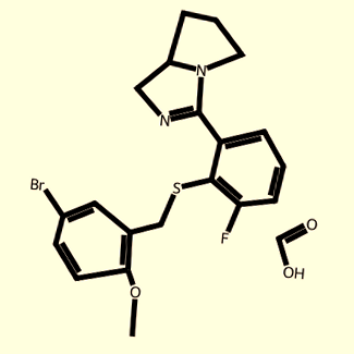 COc1ccc(Br)cc1CSc1c(F)cccc1C1=NCC2CCCN12.O=CO